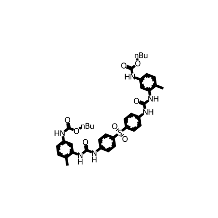 CCCCOC(=O)Nc1ccc(C)c(NC(=O)Nc2ccc(S(=O)(=O)c3ccc(NC(=O)Nc4cc(NC(=O)OCCCC)ccc4C)cc3)cc2)c1